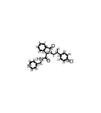 CC(CN1C(=O)c2ccccc2C1C(=O)NCc1ccncc1)c1ccc(Cl)cc1